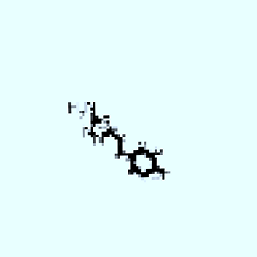 Nc1nnc(CCc2ccc(F)cc2)s1